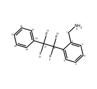 NCc1ccccc1C(F)(F)C(F)(F)c1ccccc1